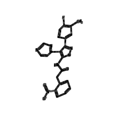 Cc1cc(-c2noc(NC(=O)Cc3ccccc3[N+](=O)[O-])c2-c2ccncn2)ccc1F